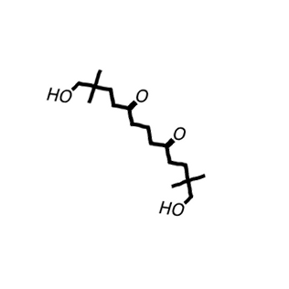 CC(C)(CO)CCC(=O)CCCC(=O)CCC(C)(C)CO